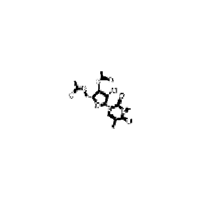 CC(=O)OC[C@H]1O[C@@H](n2cc(C)c(=O)[nH]c2=O)[C@H](Cl)[C@@H]1OC(C)=O